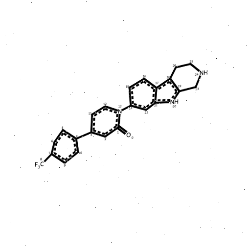 O=c1cc(-c2ccc(C(F)(F)F)cc2)ccn1-c1ccc2c3c([nH]c2c1)CNCC3